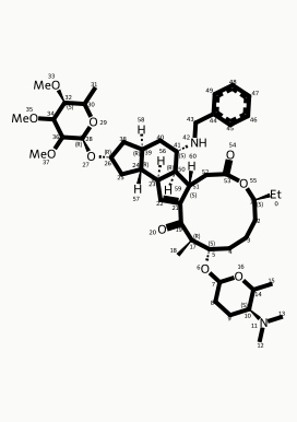 CC[C@H]1CCC[C@H](OC2CC[C@H](N(C)C)C(C)O2)[C@@H](C)C(=O)C2=C[C@H]3[C@@H]4C[C@H](O[C@@H]5OC(C)[C@H](OC)C(OC)C5OC)C[C@H]4C[C@H](NCc4ccccc4)[C@H]3[C@@H]2CC(=O)O1